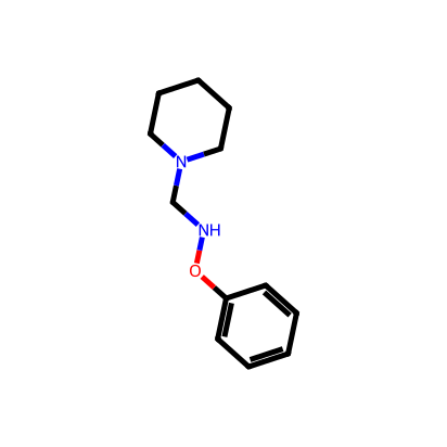 c1ccc(ONCN2CCCCC2)cc1